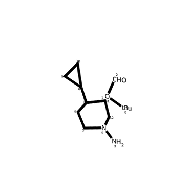 CC(C)(C)OC=O.NN1CCC(C2CC2)CC1